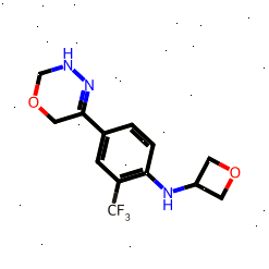 FC(F)(F)c1cc(C2=NNCOC2)ccc1NC1COC1